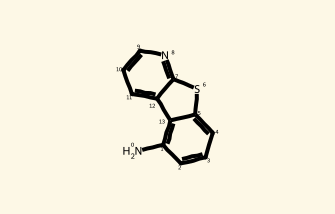 Nc1cccc2sc3ncccc3c12